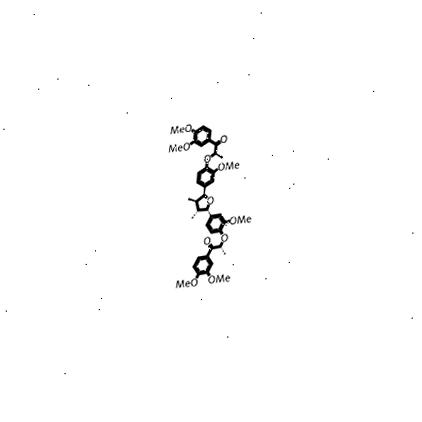 COc1ccc(C(=O)[C@@H](C)Oc2ccc([C@H]3O[C@H](c4ccc(O[C@H](C)C(=O)c5ccc(OC)c(OC)c5)c(OC)c4)[C@H](C)[C@H]3C)cc2OC)cc1OC